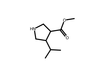 COC(=O)C1CNCC1C(C)C